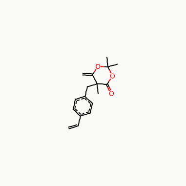 C=Cc1ccc(CC2(C)C(=C)OC(C)(C)OC2=O)cc1